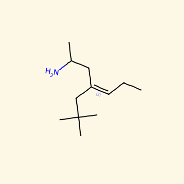 CC/C=C(\CC(C)N)CC(C)(C)C